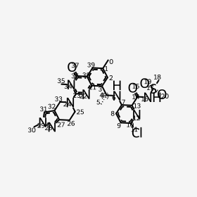 Cc1cc([C@@H](C)Nc2ccc(Cl)nc2C(=O)NS(C)(=O)=O)c2nc(N3CCc4nn(C)cc4C3)n(C)c(=O)c2c1